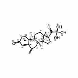 C=C1C[C@H]2[C@@H]3CC[C@H](C(=O)C(O)(O)O)[C@@]3(C)CC[C@@H]2[C@@]2(C)CCC(=O)C=C12